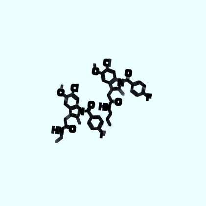 CCCNC(=O)Cc1c(C)n(C(=O)c2ccc(F)cc2)c2cc(Cl)c(OC)cc12.CCNC(=O)Cc1c(C)n(C(=O)c2ccc(F)cc2)c2cc(Cl)c(OC)cc12